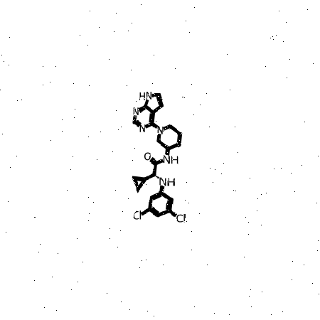 O=C(NC1CCCN(c2ncnc3[nH]ccc23)C1)[C@H](Nc1cc(Cl)cc(Cl)c1)C1CC1